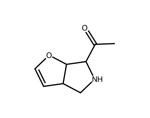 CC(=O)C1NCC2C=COC21